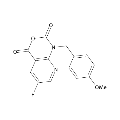 COc1ccc(Cn2c(=O)oc(=O)c3cc(F)cnc32)cc1